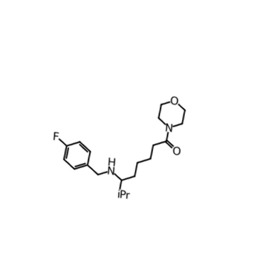 CC(C)C(CCCCC(=O)N1CCOCC1)NCc1ccc(F)cc1